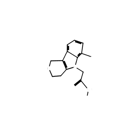 CNC(=O)Cn1c2c(c3cccc(I)c31)CNCC2